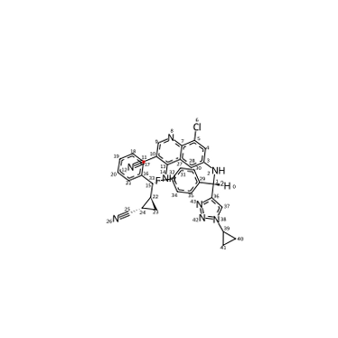 [2H][C@](Nc1cc(Cl)c2ncc(C#N)c(N[C@@H](c3ccccc3)[C@H]3C[C@@H]3C#N)c2c1)(c1ccc(F)cc1)c1cn(C2CC2)nn1